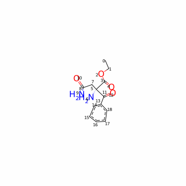 CCOC(=O)[C@](N)(CC(N)=O)C(=O)c1ccccc1